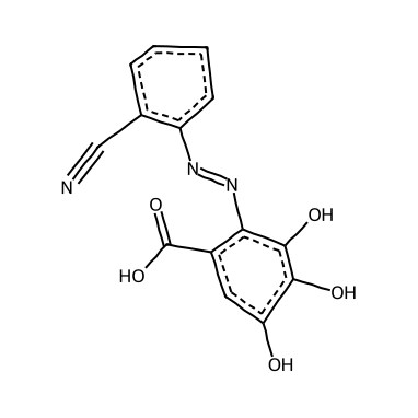 N#Cc1ccccc1/N=N/c1c(C(=O)O)cc(O)c(O)c1O